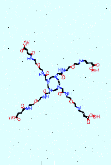 O=C(O)CCC(=O)NCCOCCNC(=O)CN1CCN(CC(=O)NCCOCC/N=C\CCC(=O)OO)CCN(CC(=O)NCCOCC/N=C/CCC(=O)OO)CCN(CC(=O)NCCOCCNC(=O)CCC(=O)O)CC1